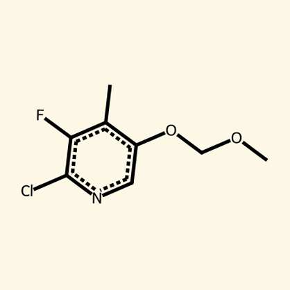 COCOc1cnc(Cl)c(F)c1C